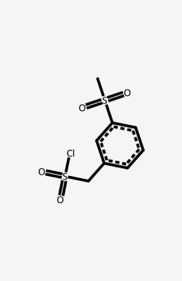 CS(=O)(=O)c1cccc(CS(=O)(=O)Cl)c1